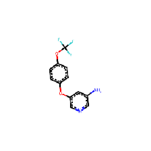 Nc1cncc(Oc2ccc(OC(F)(F)F)cc2)c1